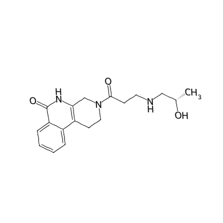 C[C@H](O)CNCCC(=O)N1CCc2c([nH]c(=O)c3ccccc23)C1